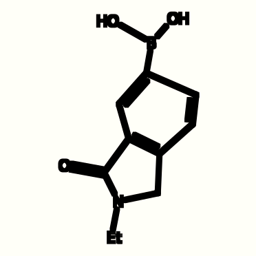 CCN1Cc2ccc(B(O)O)cc2C1=O